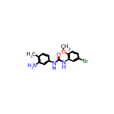 COc1ccc(Br)cc1NC(=O)Nc1ccc(C)c(N)c1